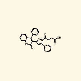 O=C(O)CCC(=O)n1nc(-c2c(-c3ccccc3)c3ccccc3[nH]c2=O)cc1-c1ccccc1